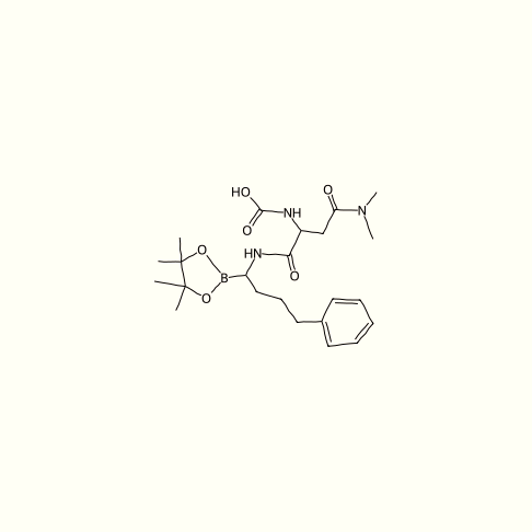 CN(C)C(=O)CC(NC(=O)O)C(=O)NC(CCCc1ccccc1)B1OC(C)(C)C(C)(C)O1